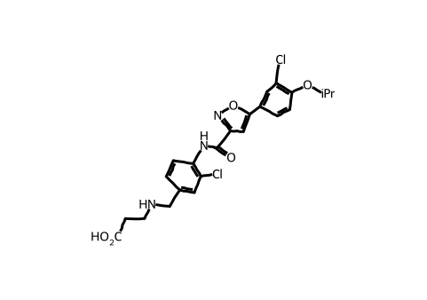 CC(C)Oc1ccc(-c2cc(C(=O)Nc3ccc(CNCCC(=O)O)cc3Cl)no2)cc1Cl